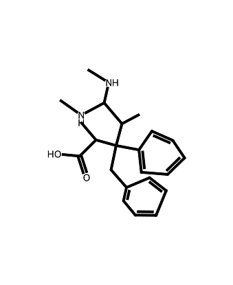 CNC(NC)C(C)C(Cc1ccccc1)(c1ccccc1)C(C)C(=O)O